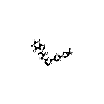 CC(C(=O)Nc1ccnc(-c2cnc(N3CC4C(C3)C4(F)F)nc2)n1)n1cnc2c1c(=O)n(C)c(=O)n2C